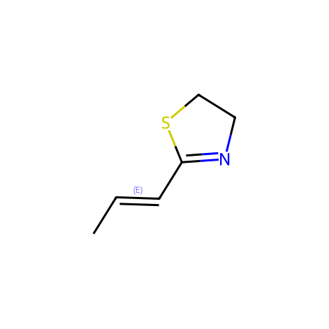 C/C=C/C1=NCCS1